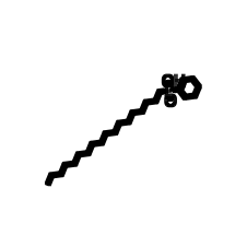 CCCCCCCCCCCCCCCCCCP(=O)(O)C1=CCCCC1